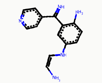 N=C(c1ccncc1)c1cc(N/C=C\N)ccc1N